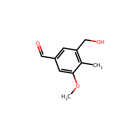 COc1cc(C=O)cc(CO)c1C